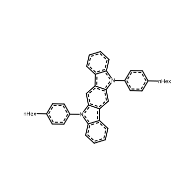 CCCCCCc1ccc(-n2c3ccccc3c3cc4c(cc32)c2ccccc2n4-c2ccc(CCCCCC)cc2)cc1